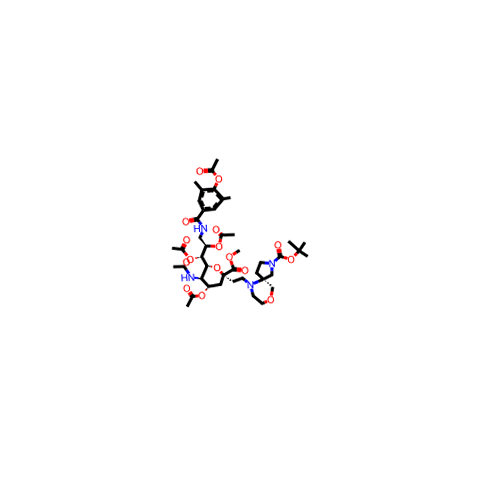 COC(=O)[C@@]1(CCN2CCOC[C@@]23CCN(C(=O)OC(C)(C)C)C3)C[C@H](OC(C)=O)[C@@H](NC(C)=O)[C@H]([C@H](OC(C)=O)[C@@H](CNC(=O)c2cc(C)c(OC(C)=O)c(C)c2)OC(C)=O)O1